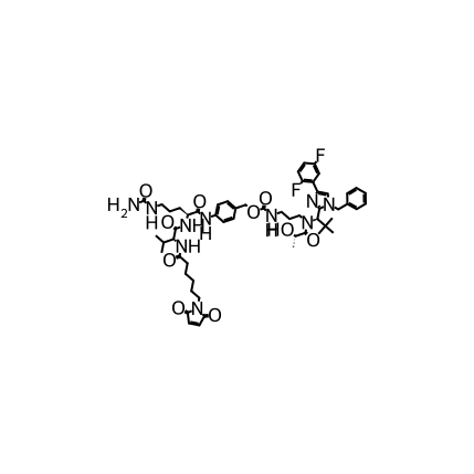 CC(C)[C@H](NC(=O)CCCCCN1C(=O)C=CC1=O)C(=O)N[C@@H](CCCNC(N)=O)C(=O)Nc1ccc(COC(=O)NCCCN(C(=O)[C@H](C)O)[C@@H](c2nc(-c3cc(F)ccc3F)cn2Cc2ccccc2)C(C)(C)C)cc1